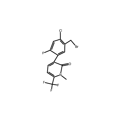 Cn1c(C(F)(F)F)ccc(-c2cc(CBr)c(Cl)cc2F)c1=O